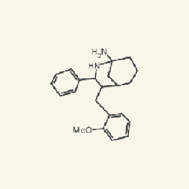 COc1ccccc1CC1C2CCCC(N)(C2)NC1c1ccccc1